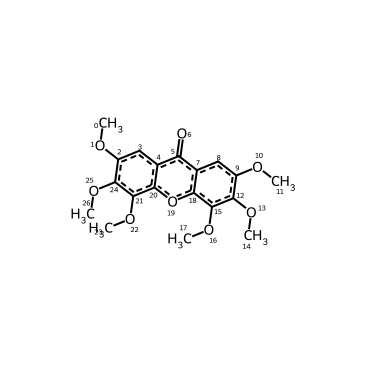 COc1cc2c(=O)c3cc(OC)c(OC)c(OC)c3oc2c(OC)c1OC